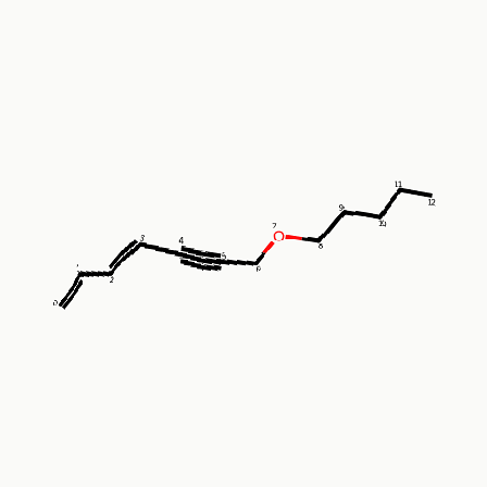 C=CC=CC#CCOCCCCC